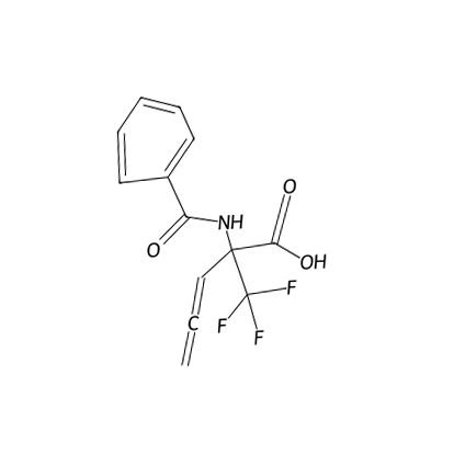 C=C=CC(NC(=O)c1ccccc1)(C(=O)O)C(F)(F)F